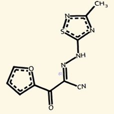 Cc1nsc(N/N=C(\C#N)C(=O)c2ccco2)n1